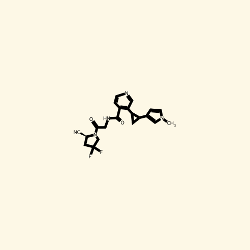 Cn1ccc(C2CC2c2cnccc2C(=O)NCC(=O)N2CC(F)(F)C[C@H]2C#N)c1